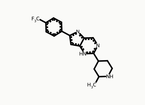 CC1CC(c2ncc3nc(-c4ccc(C(F)(F)F)cc4)cc-3[nH]2)CCN1